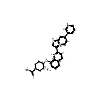 O=C(O)N1CC[C@@H](Oc2cccc3ccc(-c4cnc5cc(-c6cccnc6)ccn45)nc23)[C@H](F)C1